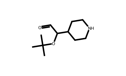 CC(C)(C)OC(C=O)C1CCNCC1